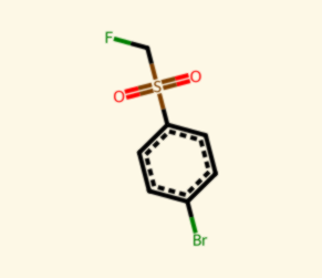 O=S(=O)(CF)c1ccc(Br)cc1